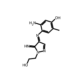 Cc1cc(N=C2C=NN(CCO)C2=N)c(N)cc1O